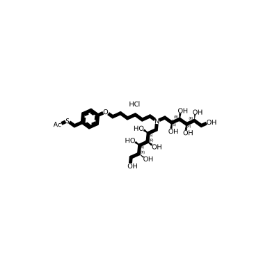 CC(=O)SCc1ccc(OCCCCCCN(C[C@H](O)[C@@H](O)[C@H](O)[C@H](O)CO)C[C@H](O)[C@@H](O)[C@H](O)[C@H](O)CO)cc1.Cl